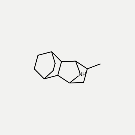 CC1CC2NC1C1C3CCC(CC3)C21